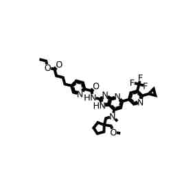 CCOC(=O)CCCc1ccc(C(=O)Nc2nc3nc(-c4cnc(C5CC5)c(C(F)(F)F)c4)cc(N(C)CC4(COC)CCCC4)c3[nH]2)nc1